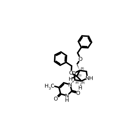 Cc1cn([C@@H]2O[C@@]3(COCc4ccccc4)CN[C@@H]2[C@@H]3OCc2ccccc2)c(=O)[nH]c1=O